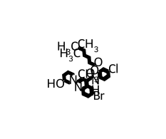 Cc1c(N2CCCC(O)C2)nc2ccc(Br)cc2c1C(=O)Nc1ccc(Cl)cc1OC(=O)CCCCC(C)(C)C